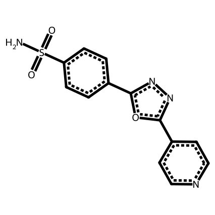 NS(=O)(=O)c1ccc(-c2nnc(-c3ccncc3)o2)cc1